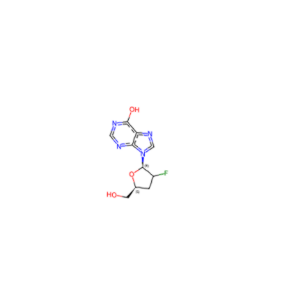 OC[C@@H]1CC(F)[C@H](n2cnc3c(O)ncnc32)O1